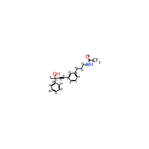 CC(O)(C#Cc1cccc(CCCNC(=O)C(F)(F)F)c1)c1ccccc1